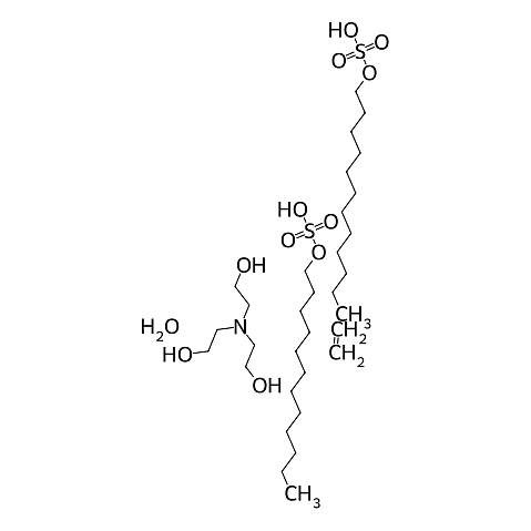 C=C.CCCCCCCCCCCCOS(=O)(=O)O.CCCCCCCCCCCCOS(=O)(=O)O.O.OCCN(CCO)CCO